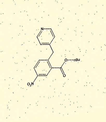 CCCCOC(=O)c1cc([N+](=O)[O-])ccc1Cc1ccncc1